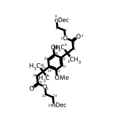 CCCCCCCCCCCCOC(=O)CC(C)(C)c1cc(OC)c(C(C)(C)CC(=O)OCCCCCCCCCCCC)cc1O